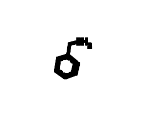 BCc1c#cccc1